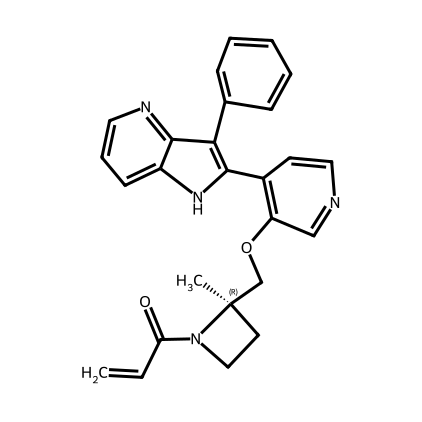 C=CC(=O)N1CC[C@]1(C)COc1cnccc1-c1[nH]c2cccnc2c1-c1ccccc1